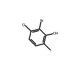 Oc1c(I)ccc(Cl)c1Br